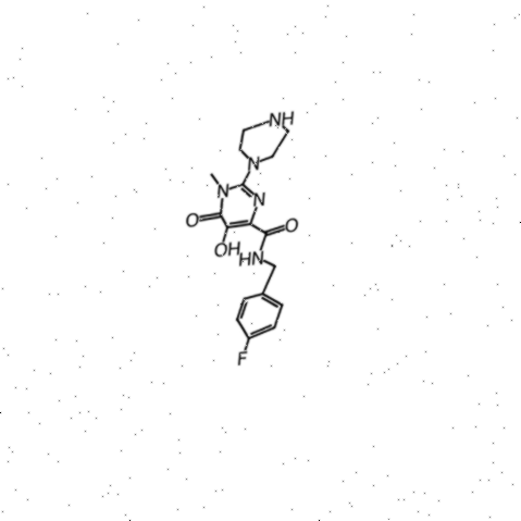 Cn1c(N2CCNCC2)nc(C(=O)NCc2ccc(F)cc2)c(O)c1=O